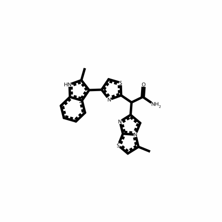 Cc1[nH]c2ccccc2c1-c1csc(C(C(N)=O)c2cn3c(C)csc3n2)n1